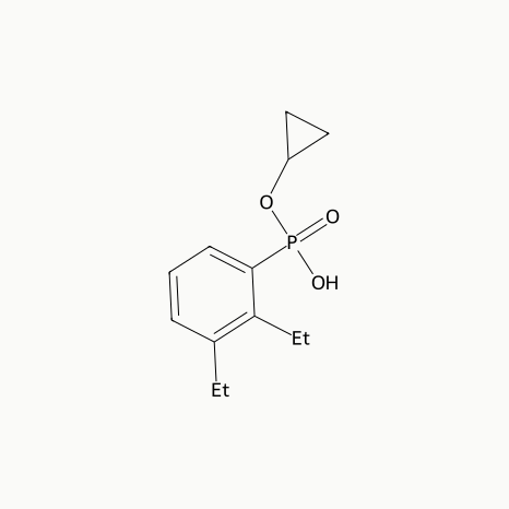 CCc1cccc(P(=O)(O)OC2CC2)c1CC